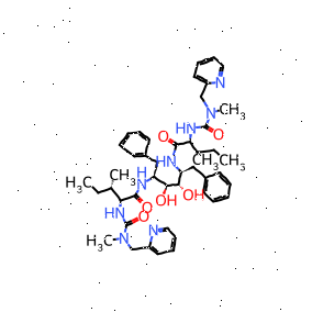 CC[C@H](C)[C@H](NC(=O)N(C)Cc1ccccn1)C(=O)N[C@@H](Cc1ccccc1)[C@H](O)[C@@H](O)[C@H](Cc1ccccc1)NC(=O)[C@@H](NC(=O)N(C)Cc1ccccn1)[C@@H](C)CC